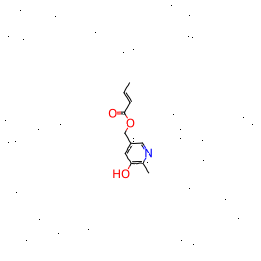 CC=CC(=O)OCc1cnc(C)c(O)c1